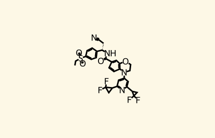 CCS(=O)(=O)c1ccc([C@H](CC#N)NC(=O)c2ccc3c(c2)OCCN3c2cc(C3CC3(F)F)nc(C3CC3(F)F)c2)cc1